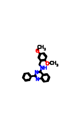 COc1ccc(OC)c(CNc2nc(-c3ccccc3)nc3ccccc23)c1